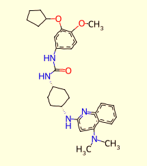 COc1ccc(NC(=O)N[C@H]2CC[C@@H](Nc3cc(N(C)C)c4ccccc4n3)CC2)cc1OC1CCCC1